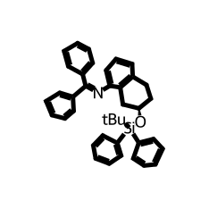 CC(C)(C)[Si](O[C@@H]1CCc2cccc(N=C(c3ccccc3)c3ccccc3)c2C1)(c1ccccc1)c1ccccc1